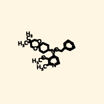 COc1c(N(OCc2ccccc2)C2CCC3(CC2)OCC(C)(C)CO3)ccnc1C